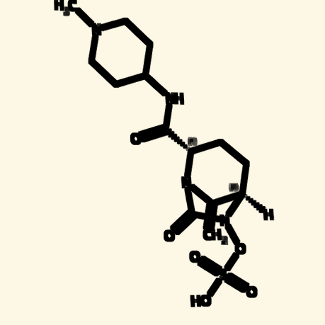 C=C1[C@H]2CC[C@@H](C(=O)NC3CCN(C)CC3)N1C(=O)N2OS(=O)(=O)O